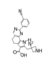 Cn1c(CC2(N)CNC2)c(C(=O)O)c2c1-c1nc(-c3cccc(C#N)c3)ncc1CC2